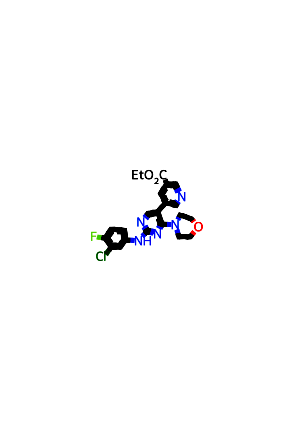 CCOC(=O)c1cncc(-c2cnc(Nc3ccc(F)c(Cl)c3)nc2N2CCOCC2)c1